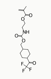 C=C(C)C(=O)OCCNC(=O)OCC1CCC(C(=O)C(F)(F)F)CC1